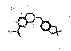 NC(=O)c1n[c]c2c(n1)CN(Cc1ccc3c(c1)OC(F)(F)O3)CC2